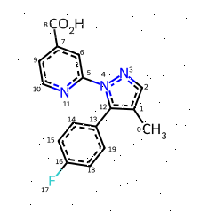 Cc1cnn(-c2cc(C(=O)O)ccn2)c1-c1ccc(F)cc1